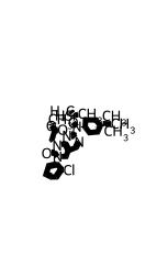 COC(=O)CN1C(=O)N(c2ccccc2Cl)Cc2cnc(N(O[SiH](C)C)[C@H]3CC[C@H](C(C)(C)C)CC3)nc21